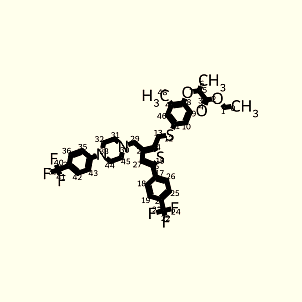 CCOC(=O)C(C)Oc1ccc(SCc2sc(-c3ccc(C(F)(F)F)cc3)cc2CN2CCN(c3ccc(C(F)(F)F)cc3)CC2)cc1C